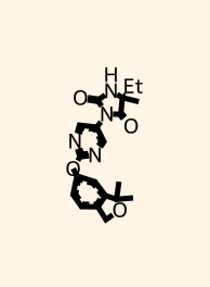 CC[C@@]1(C)NC(=O)N(c2cnc(Oc3ccc4c(c3)C(C)(C)OC4)nc2)C1=O